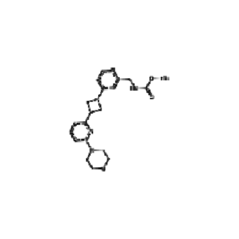 CCCCOC(=O)NCc1cc(C2CC(c3cccc(N4CCOCC4)n3)C2)ccn1